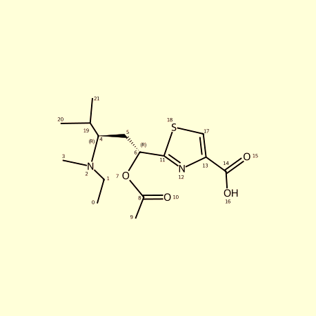 CCN(C)[C@H](C[C@@H](OC(C)=O)c1nc(C(=O)O)cs1)C(C)C